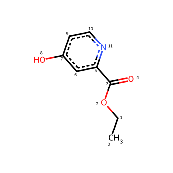 CCOC(=O)c1cc(O)ccn1